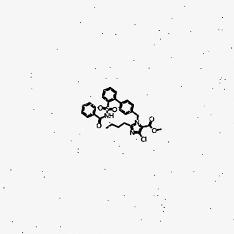 CCCCc1nc(Cl)c(C(=O)OC)n1Cc1ccc(-c2ccccc2S(=O)(=O)NC(=O)c2ccccc2)cc1